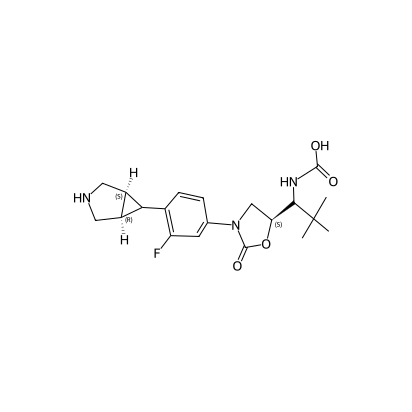 CC(C)(C)C(NC(=O)O)[C@@H]1CN(c2ccc(C3[C@H]4CNC[C@@H]34)c(F)c2)C(=O)O1